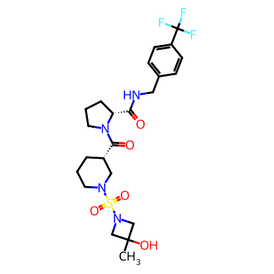 CC1(O)CN(S(=O)(=O)N2CCC[C@H](C(=O)N3CCC[C@@H]3C(=O)NCc3ccc(C(F)(F)F)cc3)C2)C1